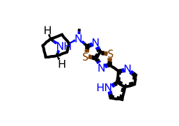 CN(c1nc2sc(-c3nccc4cc[nH]c34)nc2s1)[C@@H]1C[C@H]2CC[C@@H](C1)N2